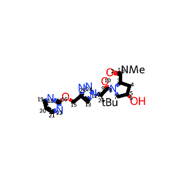 CNC(=O)C1CC(O)CN1C(=O)[C@@H](n1cc(COc2ncccn2)nn1)C(C)(C)C